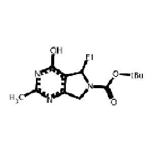 CCC1c2c(O)nc(C)nc2CN1C(=O)OC(C)(C)C